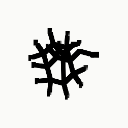 OCC12C(F)(F)C3(F)C(F)(F)C(F)(C(F)(F)C(F)(C3(F)F)C1(F)F)C2(F)F